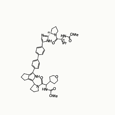 COC(=O)NC(C(=O)N1CCCC1c1[nH]c(-c2ccc(-c3ccc(-c4cnc([C@@H]5CCCN5C(=O)[C@@H](NC(=O)OC)C(C)C)[nH]4)cc3)cc2)c2c1CCC2)C1CCOCC1